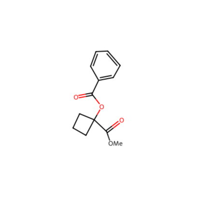 COC(=O)C1(OC(=O)c2ccccc2)CCC1